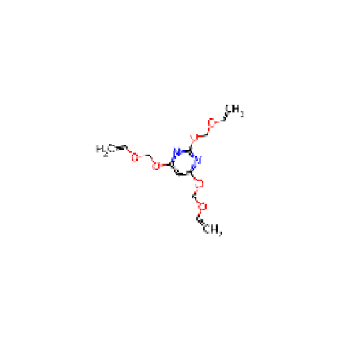 C=COCOc1cc(OCOC=C)nc(OCOC=C)n1